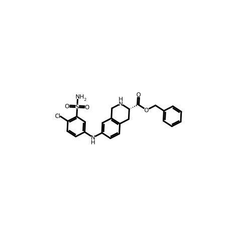 NS(=O)(=O)c1cc(Nc2ccc3c(c2)CN[C@H](C(=O)OCc2ccccc2)C3)ccc1Cl